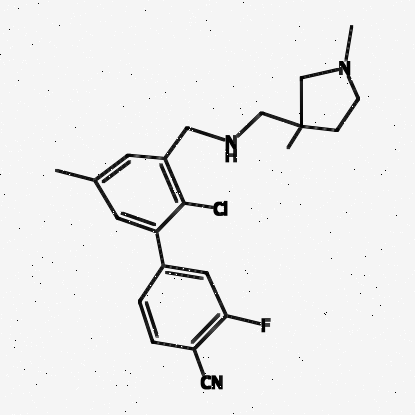 Cc1cc(CNCC2(C)CCN(C)C2)c(Cl)c(-c2ccc(C#N)c(F)c2)c1